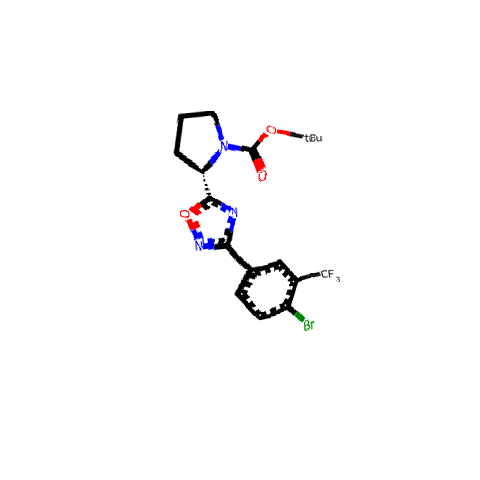 CC(C)(C)OC(=O)N1CCC[C@H]1c1nc(-c2ccc(Br)c(C(F)(F)F)c2)no1